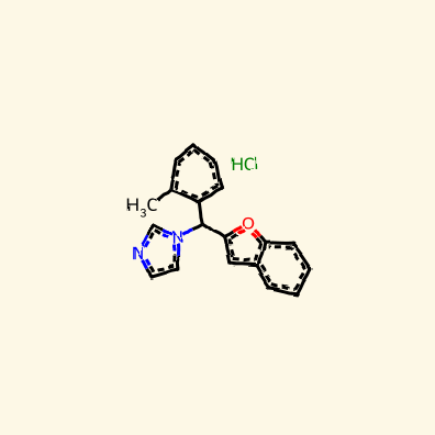 Cc1ccccc1C(c1cc2ccccc2o1)n1ccnc1.Cl